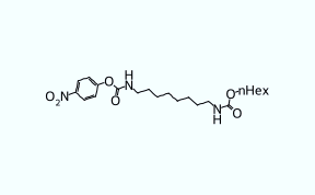 CCCCCCOC(=O)NCCCCCCCCNC(=O)Oc1ccc([N+](=O)[O-])cc1